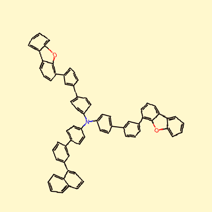 c1cc(-c2ccc(N(c3ccc(-c4cccc(-c5cccc6c5oc5ccccc56)c4)cc3)c3ccc(-c4cccc(-c5cccc6c5oc5ccccc56)c4)cc3)cc2)cc(-c2cccc3ccccc23)c1